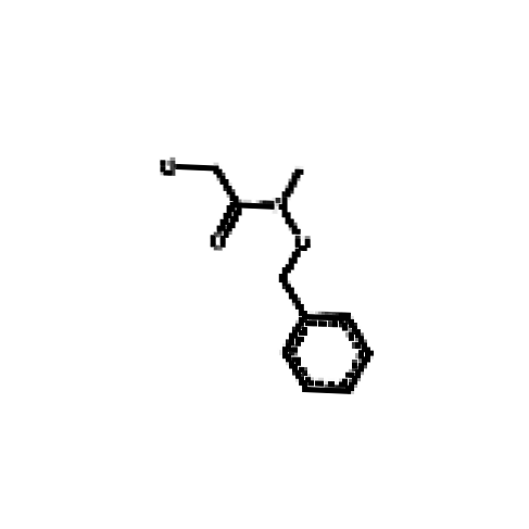 CN(OCc1ccccc1)C(=O)CCl